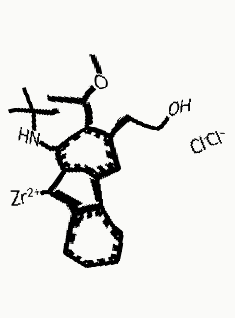 COC(C)=c1c(CCO)cc2c(c1NC(C)(C)C)[C]([Zr+2])=c1ccccc1=2.[Cl-].[Cl-]